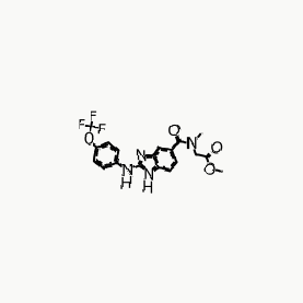 COC(=O)CN(C)C(=O)c1ccc2[nH]c(Nc3ccc(OC(F)(F)F)cc3)nc2c1